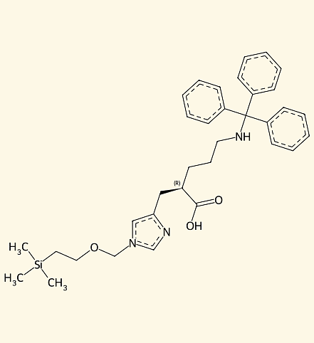 C[Si](C)(C)CCOCn1cnc(C[C@@H](CCCNC(c2ccccc2)(c2ccccc2)c2ccccc2)C(=O)O)c1